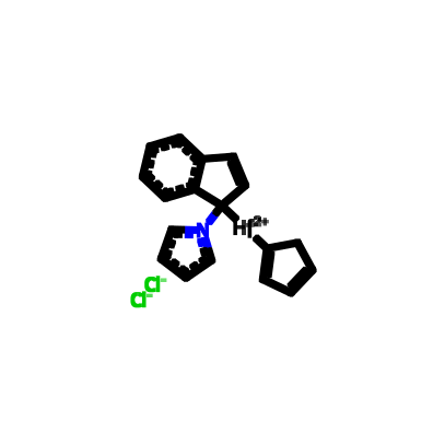 C1=CC[C]([Hf+2][C]2(n3cccc3)C=Cc3ccccc32)=C1.[Cl-].[Cl-]